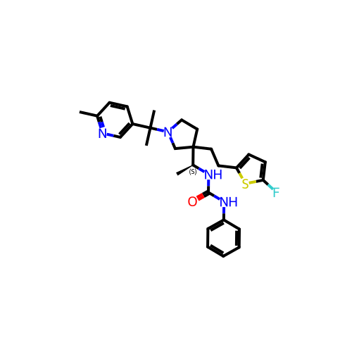 Cc1ccc(C(C)(C)N2CCC(CCc3ccc(F)s3)([C@H](C)NC(=O)Nc3ccccc3)C2)cn1